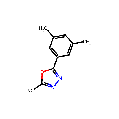 Cc1cc(C)cc(-c2nnc(C#N)o2)c1